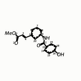 COC(=O)/C=C/c1cccc(NC(=O)c2ccc(O)cc2)c1